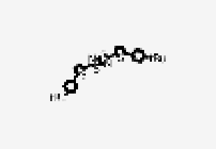 CC(C)(C)c1ccc(-c2ccc(-c3nc4sc(-c5ccc(-c6ccc(C(C)(C)C)cc6)s5)nc4s3)s2)cc1